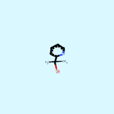 OC(c1ccccn1)(C(F)(F)F)C(F)(F)F